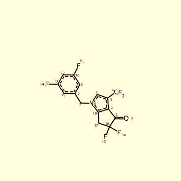 O=C1c2c(C(F)(F)F)cn(Cc3cc(F)cc(F)c3)c2CC1(F)F